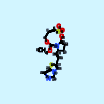 C.O=C1OCC=CS(=O)(=O)OC2CC[C@@H](C=Cc3cn4cncc4s3)N12